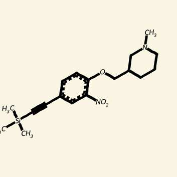 CN1CCCC(COc2ccc(C#C[Si](C)(C)C)cc2[N+](=O)[O-])C1